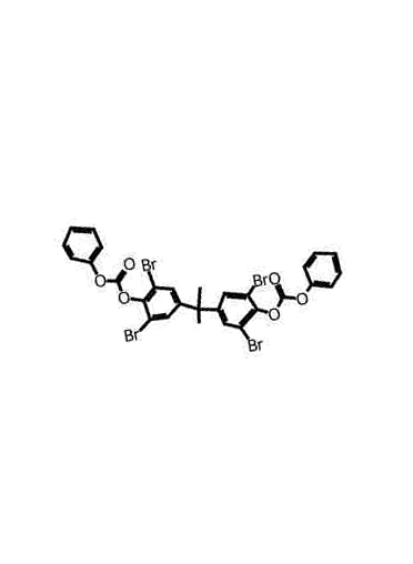 CC(C)(c1cc(Br)c(OC(=O)Oc2ccccc2)c(Br)c1)c1cc(Br)c(OC(=O)Oc2ccccc2)c(Br)c1